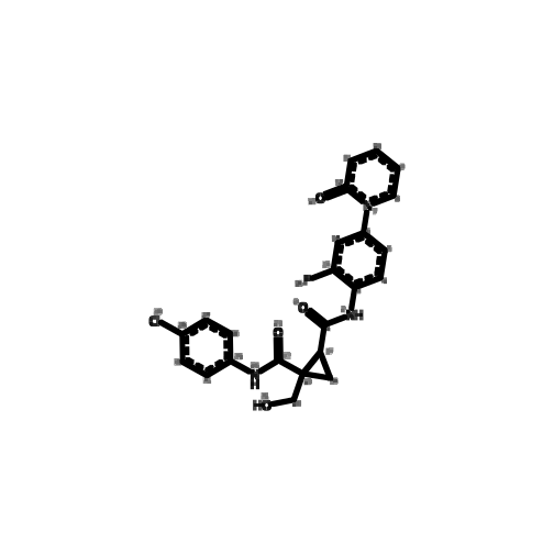 O=C(Nc1ccc(-n2ccccc2=O)cc1F)C1CC1(CO)C(=O)Nc1ccc(Cl)cc1